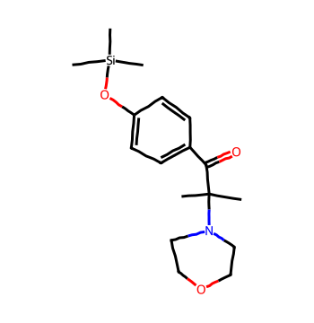 CC(C)(C(=O)c1ccc(O[Si](C)(C)C)cc1)N1CCOCC1